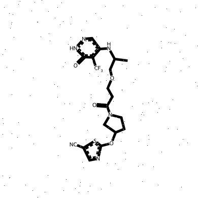 CC(COCCC(=O)N1CCC(Oc2ncc(C#N)s2)C1)Nc1cn[nH]c(=O)c1C(F)(F)F